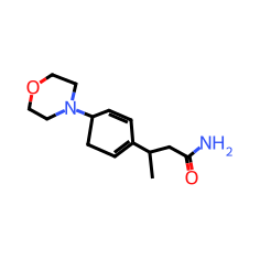 CC(CC(N)=O)C1=CCC(N2CCOCC2)C=C1